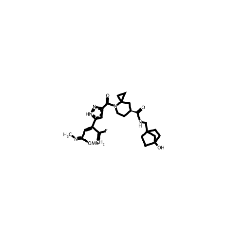 C=C(F)/C(=C\C(=N/C)OC)c1cc(C(=O)N2CC[C@H](C(=O)NCC34CCC(O)(CC3)C4)CC23CC3)n[nH]1